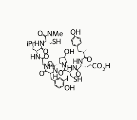 CNC(=O)[C@H](CS)NC(=O)[C@H](CC(C)C)NC(=O)CNC(=O)[C@H](Cc1ccc(O)c(I)c1)NC(=O)[C@@H]1C[C@@H](O)CN1C(=O)[C@H](CS)NC(=O)[C@@H](CCC(=O)O)NC(=O)[C@@H](C)Cc1ccc(O)cc1